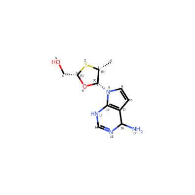 C[C@H]1S[C@@H](CO)O[C@H]1n1ccc2c1NC=NC2N